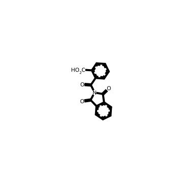 O=C(O)c1ccccc1C(=O)N1C(=O)c2ccccc2C1=O